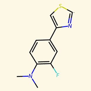 CN(C)c1ccc(-c2cs[c]n2)cc1F